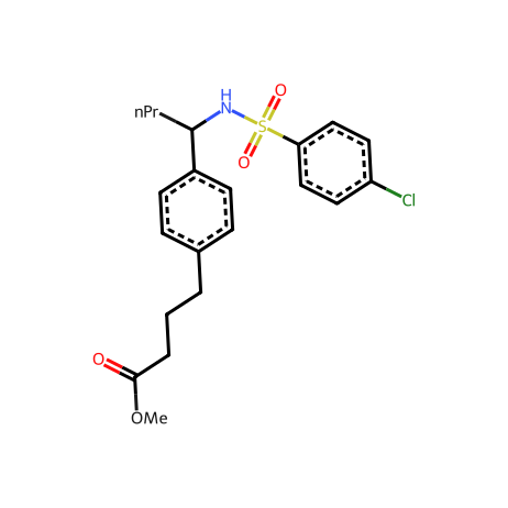 CCCC(NS(=O)(=O)c1ccc(Cl)cc1)c1ccc(CCCC(=O)OC)cc1